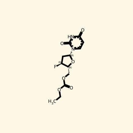 CCOC(=O)OC[C@H]1O[C@@H](n2ccc(=O)[nH]c2=O)C[C@@H]1F